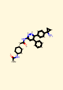 CC(C)(C)C(=O)N[C@H]1CC[C@H](CC(=O)Nc2cc(-c3ccccc3)c(-c3ccc(C4(N)CC4)cc3)nn2)CC1